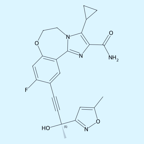 Cc1cc([C@@](C)(O)C#Cc2cc3c(cc2F)OCCn2c-3nc(C(N)=O)c2C2CC2)no1